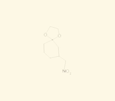 O=[N+]([O-])CC1CCCC2(C1)OCCO2